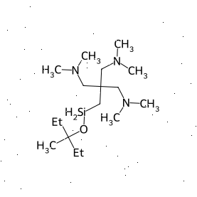 CCC(C)(CC)O[SiH2]CC(CN(C)C)(CN(C)C)CN(C)C